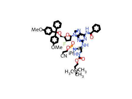 COc1ccc(C(OC[C@H]2O[C@@H](n3cnc4c(NC(=O)c5ccccc5)nc(NCCNC(=O)OCC[Si](C)(C)C)nc43)[C@H](OP(OCCC#N)N(C(C)C)C(C)C)[C@@H]2F)(c2ccccc2)c2ccc(OC)cc2)cc1